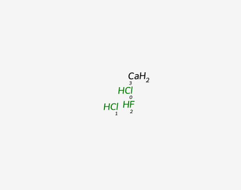 Cl.Cl.F.[CaH2]